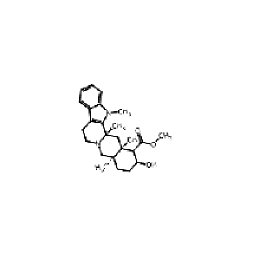 COC(=O)[C@H]1[C@@H](O)CC[C@@]2(C)CN3CCc4c(n(C)c5ccccc45)[C@]3(C)C[C@]12C